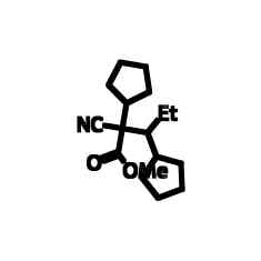 CCC(C1CCCC1)C(C#N)(C(=O)OC)C1CCCC1